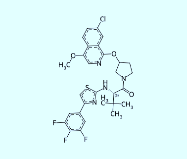 COc1cnc(OC2CCN(C(=O)[C@@H](Nc3nc(-c4cc(F)c(F)c(F)c4)cs3)C(C)(C)C)C2)c2cc(Cl)ccc12